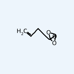 C=CCC1OC23OC12O3